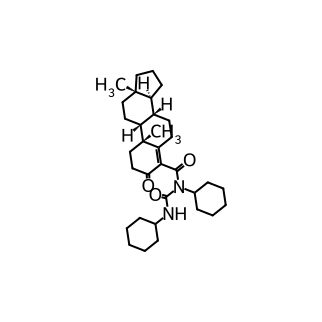 C[C@@]12CCC[C@H]1[C@@H]1CCC3=C(C(=O)N(C(=O)NC4CCCCC4)C4CCCCC4)C(=O)CC[C@]3(C)[C@@H]1CC2